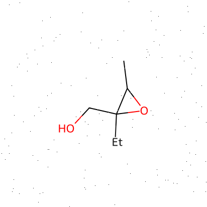 CCC1(CO)OC1C